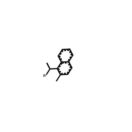 Cc1ccc2ccccc2c1C(C)Br